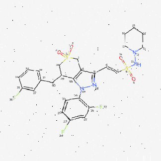 O=S1(=O)Cc2c(/C=C/S(=O)(=O)NN3CCCCC3)nn(-c3ccc(F)cc3F)c2C(Cc2cccc(F)c2)C1